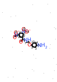 Nc1ccc(OCCNC(=O)c2cc([N+](=O)[O-])cc([N+](=O)[O-])c2)cc1